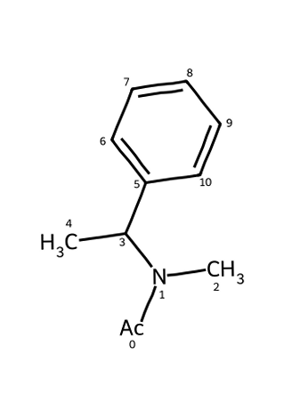 CC(=O)N(C)C(C)c1ccccc1